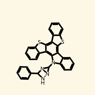 c1ccc(C2N[N@@]3C(n4c5ccccc5c5c6sc7ccccc7c6c6sc7ccccc7c6c54)N23)cc1